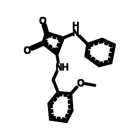 COc1ccccc1CNc1c(Nc2ccccc2)c(=O)c1=O